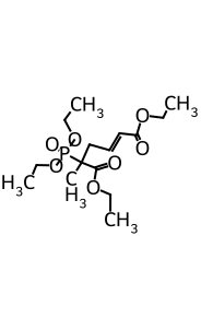 CCOC(=O)C=CCC(C)(C(=O)OCC)P(=O)(OCC)OCC